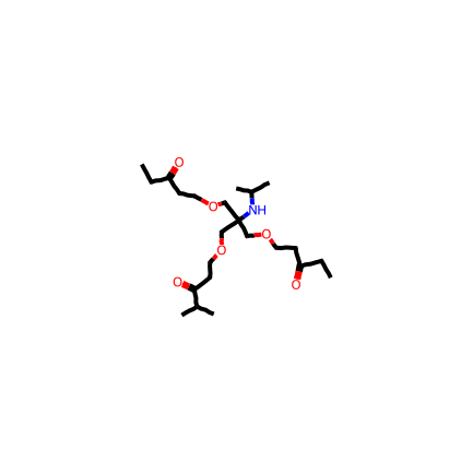 CCC(=O)CCOCC(COCCC(=O)CC)(COCCC(=O)C(C)C)NC(C)C